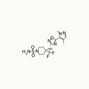 Cc1cnn(C)c1-c1nc([C@@H]2C(F)(F)C23CCN(S(N)(=O)=O)CC3)no1